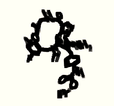 CC(C)OC(=O)Nc1ccc(-c2c3nc4c(cnn4c2N)C(=O)NC[C@H](C)Oc2ncc(F)cc2CN3)cc1